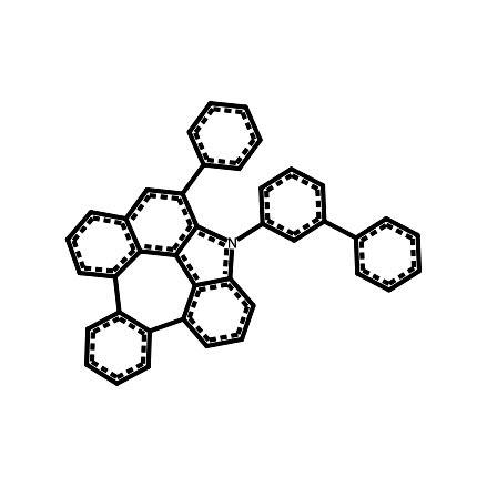 c1ccc(-c2cccc(-n3c4cccc5c4c4c6c(cccc6cc(-c6ccccc6)c43)-c3ccccc3-5)c2)cc1